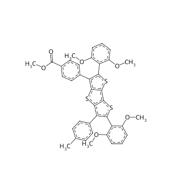 COC(=O)c1ccc(-c2c(-c3c(OC)cccc3OC)sc3c2sc2c(-c4ccc(C)cc4)c(-c4c(OC)cccc4OC)sc23)cc1